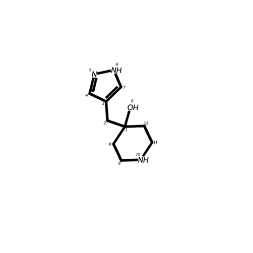 OC1(Cc2cn[nH]c2)CCNCC1